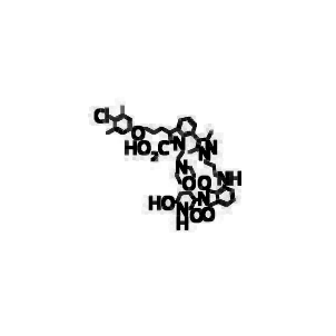 Cc1cc(OCCCc2c(C(=O)O)n(CCN3CCOCC3)c3c(-c4c(C)nn(CCCNc5cccc6c5C(=O)N(C5CCC(O)NC5=O)C6=O)c4C)cccc23)cc(C)c1Cl